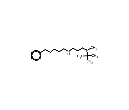 CN(CCCNCCCSCc1ccccc1)C(C)(C)C